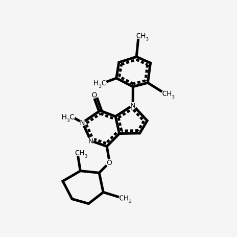 Cc1cc(C)c(-n2ccc3c(OC4C(C)CCCC4C)nn(C)c(=O)c32)c(C)c1